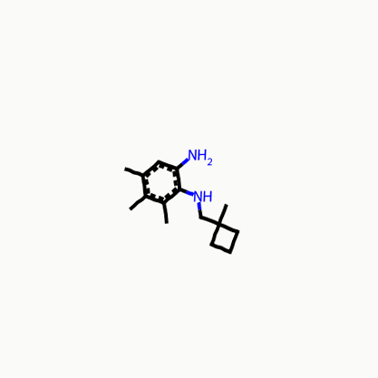 Cc1cc(N)c(NCC2(C)CCC2)c(C)c1C